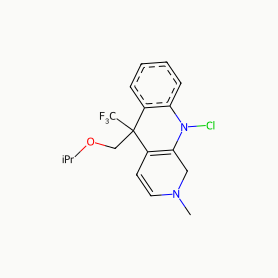 CC(C)OCC1(C(F)(F)F)C2=C(CN(C)C=C2)N(Cl)c2ccccc21